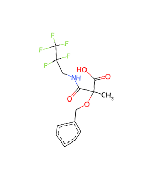 CC(OCc1ccccc1)(C(=O)O)C(=O)NCC(F)(F)C(F)(F)F